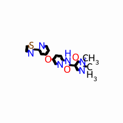 Cc1ncc(C(=O)Nc2ccc(Oc3ccnc(-c4nccs4)c3)cn2)c(=O)n1C